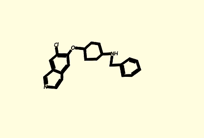 Clc1cc2cnccc2cc1OC1CCC(NCc2ccccc2)CC1